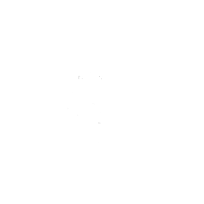 O=c1[nH]c(=O)n(Cc2ccccc2)cc1[C@@H]1O[C@H](CO)C(O)[C@@H]1O